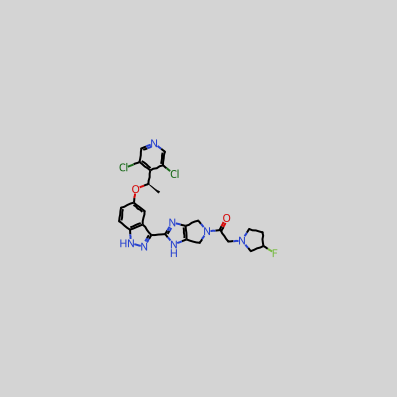 C[C@@H](Oc1ccc2[nH]nc(-c3nc4c([nH]3)CN(C(=O)CN3CCC(F)C3)C4)c2c1)c1c(Cl)cncc1Cl